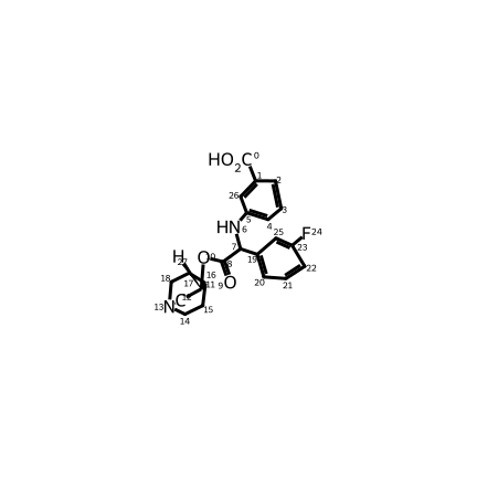 O=C(O)c1cccc(NC(C(=O)O[C@H]2CN3CCC2CC3)c2cccc(F)c2)c1